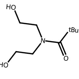 CC(C)(C)C(=O)N(CCO)CCO